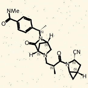 CNC(=O)c1ccc([C@H](C)N2C(=O)[C@@H]3C[C@H]2CN3C[C@H](C)C(=O)N2C3C[C@H]3C[C@H]2C#N)cc1